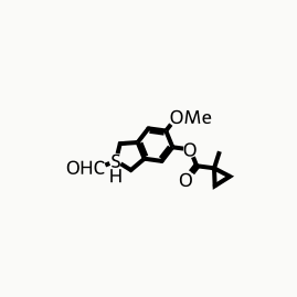 COc1cc2c(cc1OC(=O)C1(C)CC1)C[SH](C=O)C2